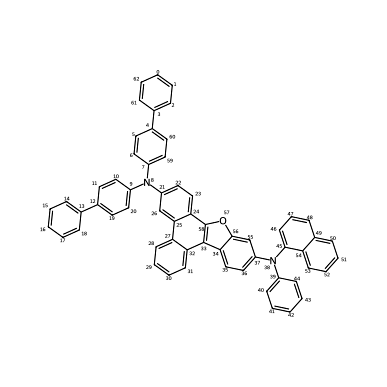 c1ccc(-c2ccc(N(c3ccc(-c4ccccc4)cc3)c3ccc4c(c3)c3ccccc3c3c5ccc(N(c6ccccc6)c6cccc7ccccc67)cc5oc43)cc2)cc1